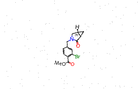 COC(=O)c1ccc(CN2C[C@@H]3CC3C2=O)cc1Br